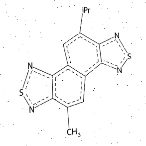 Cc1cc2c(cc(C(C)C)c3nsnc32)c2nsnc12